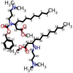 CCCCCCCCCC(CC(=O)OC)N(CCCN(C)C)C(=O)OCc1ccccc1.CCCCCCCCCC(CC(=O)OC)NCCCN(C)C